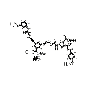 COC(=O)C1CC(NC(=O)OCC#Cc2cc(C#CCOC(=O)Cc3cccc(CN)c3)cc(C(C=O)OC)c2)CN1C(=O)CCc1ccc(CN)cc1.Cl.Cl